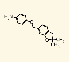 CC1(C)Cc2ccc(COc3ccc(N)cc3)cc2O1